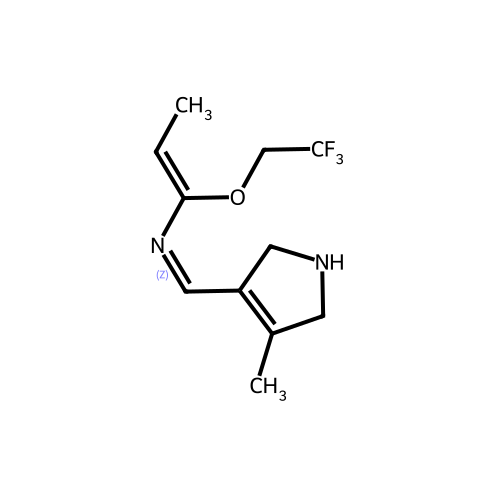 CC=C(/N=C\C1=C(C)CNC1)OCC(F)(F)F